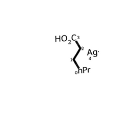 CCCCCC(=O)O.[Ag]